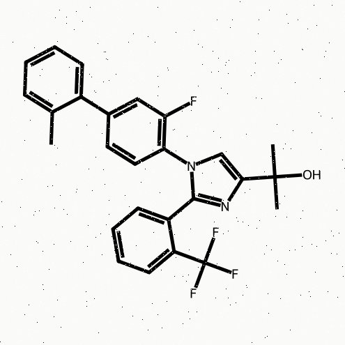 Cc1ccccc1-c1ccc(-n2cc(C(C)(C)O)nc2-c2ccccc2C(F)(F)F)c(F)c1